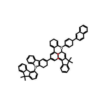 CC1(C)C2=CC(N(C3=CCC(c4ccc5ccccc5c4)C=C3)C3=CCCC=C3C3=CC(C4=Cc5c(n(-c6cccc7c6-c6ccccc6C7(C)C)c6ccccc56)CC4)=CCC3)CC=C2c2ccccc21